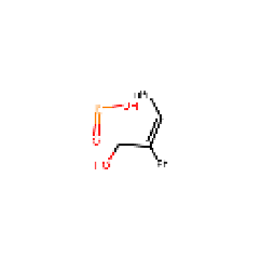 CCCC=C(CC)CO.O=PO